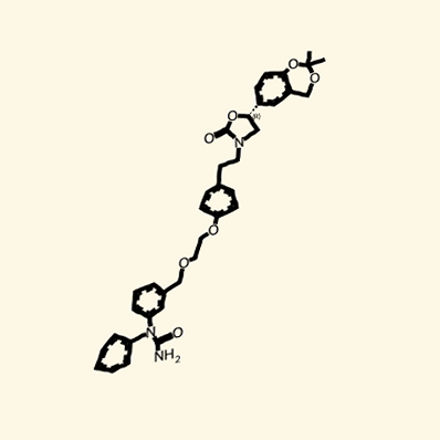 CC1(C)OCc2cc([C@@H]3CN(CCc4ccc(OCCOCc5cccc(N(C(N)=O)c6ccccc6)c5)cc4)C(=O)O3)ccc2O1